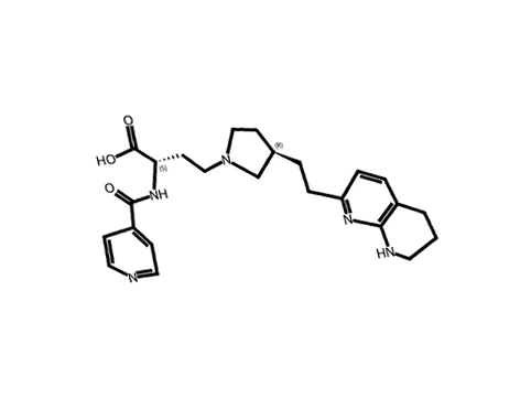 O=C(N[C@@H](CCN1CC[C@@H](CCc2ccc3c(n2)NCCC3)C1)C(=O)O)c1ccncc1